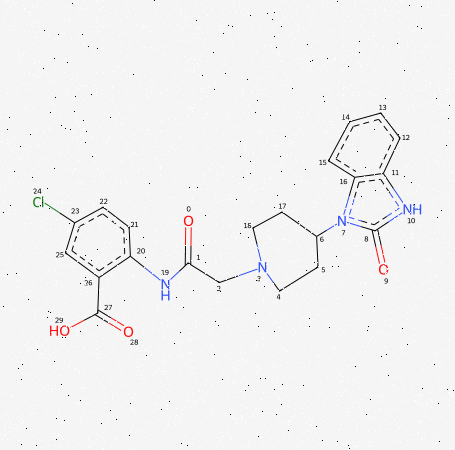 O=C(CN1CCC(n2c(=O)[nH]c3ccccc32)CC1)Nc1ccc(Cl)cc1C(=O)O